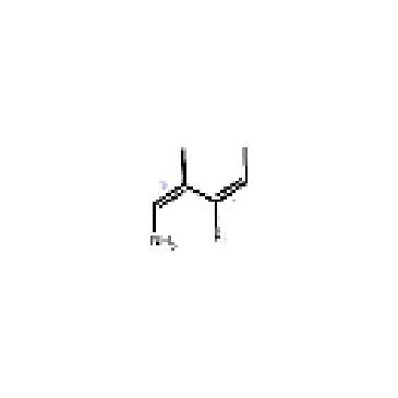 C/C=C(CC)\C(C)=C/N